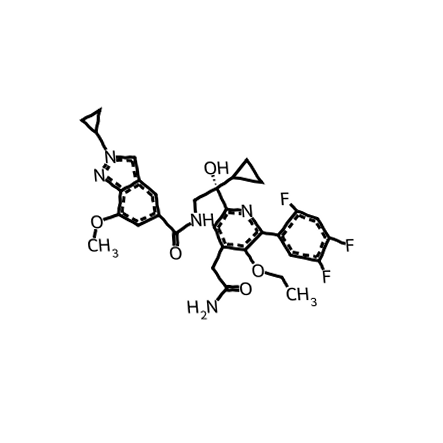 CCOc1c(CC(N)=O)cc([C@@](O)(CNC(=O)c2cc(OC)c3nn(C4CC4)cc3c2)C2CC2)nc1-c1cc(F)c(F)cc1F